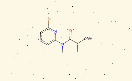 COC(C)C(=O)N(C)c1cccc(Br)n1